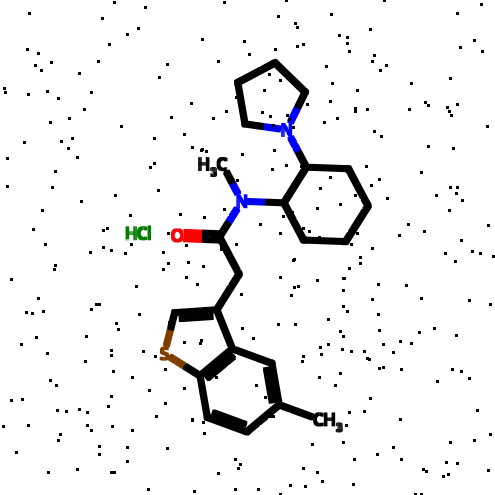 Cc1ccc2scc(CC(=O)N(C)C3CCCCC3N3CCCC3)c2c1.Cl